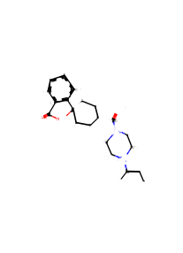 CCC(C)N1CCN(C(=O)[C@H]2CC[C@@]3(CC2)OC(=O)c2ccccc23)CC1